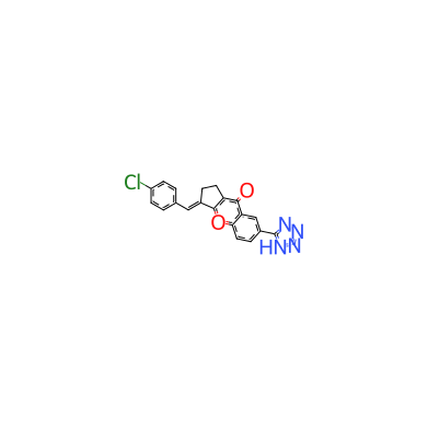 O=c1c2c(oc3ccc(-c4nnn[nH]4)cc13)C(=Cc1ccc(Cl)cc1)CC2